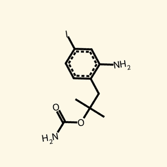 CC(C)(Cc1ccc(I)cc1N)OC(N)=O